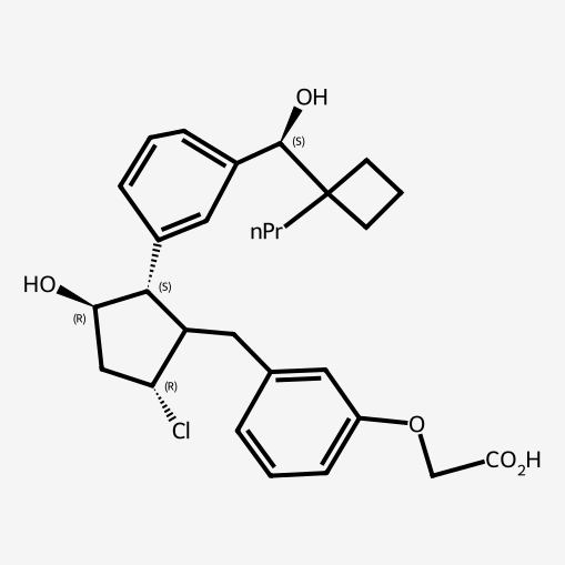 CCCC1([C@H](O)c2cccc([C@@H]3C(Cc4cccc(OCC(=O)O)c4)[C@H](Cl)C[C@H]3O)c2)CCC1